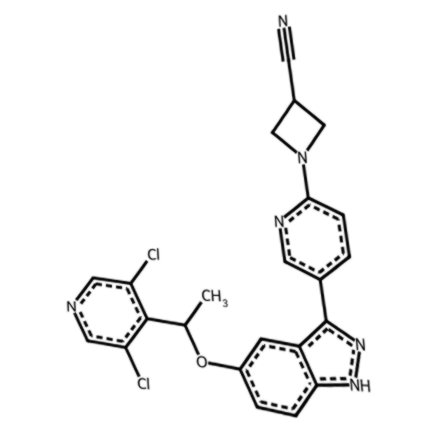 CC(Oc1ccc2[nH]nc(-c3ccc(N4CC(C#N)C4)nc3)c2c1)c1c(Cl)cncc1Cl